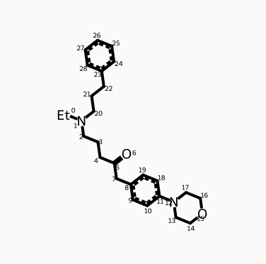 CCN(CCCC(=O)Cc1ccc(N2CCOCC2)cc1)CCCc1ccccc1